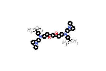 CC(C)c1ccc(N(c2ccc3c(ccc4c5cc6oc7c8ccc(N(c9ccc(C(C)C)cc9)c9ccc%10c(c9)c9cccc%11c%12ccccc%12n%10c%119)cc8ccc7c6cc5oc34)c2)c2ccc3c(c2)c2cccc4c5ccccc5n3c42)cc1